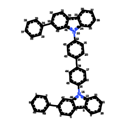 c1ccc(-c2ccc3c4ccccc4n(-c4ccc(-c5ccc(-n6c7ccccc7c7ccc(-c8ccccc8)cc76)cc5)cc4)c3c2)cc1